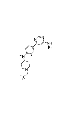 CCNc1cc(-c2ccc(N(C)C3CCN(CC(F)(F)F)CC3)nc2)ncn1